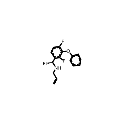 C=CCN[C@@H](CC)c1ccc(F)c(Oc2ccccc2)c1F